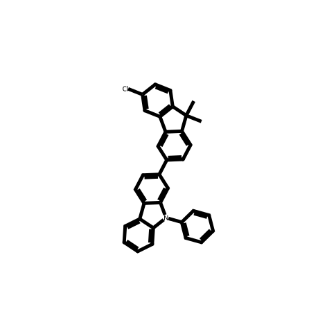 CC1(C)c2ccc(Cl)cc2-c2cc(-c3ccc4c5ccccc5n(-c5ccccc5)c4c3)ccc21